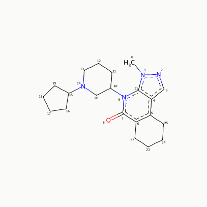 Cn1ncc2c3c(c(=O)n(C4CCCN(C5CCCC5)C4)c21)CCCC3